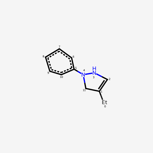 CCC1=CNN(c2ccccc2)C1